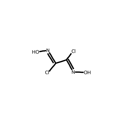 O/N=C(Cl)/C(Cl)=N/O